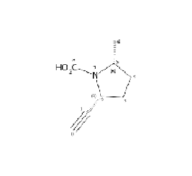 C#C[C@H]1CC[C@@H](C)N1C(=O)O